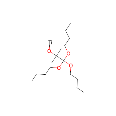 CCCCOC(OCCCC)(OCCCC)C(C)(C)[O][Ti]